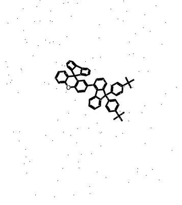 CC(C)(C)c1ccc(C2(c3ccc(C(C)(C)C)cc3)c3ccccc3-c3c(-c4ccc5c(c4)C4(c6ccccc6O5)c5ccccc5-c5ccccc54)cccc32)cc1